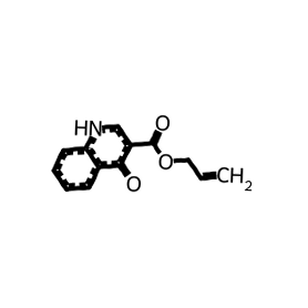 C=CCOC(=O)c1c[nH]c2ccccc2c1=O